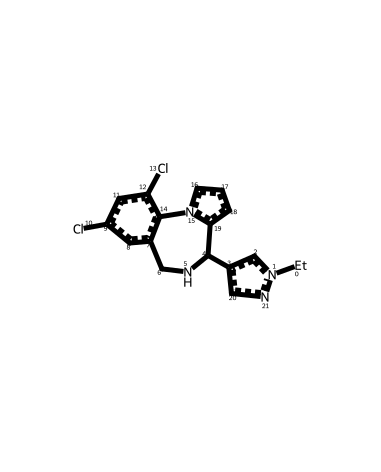 CCn1cc(C2NCc3cc(Cl)cc(Cl)c3-n3cccc32)cn1